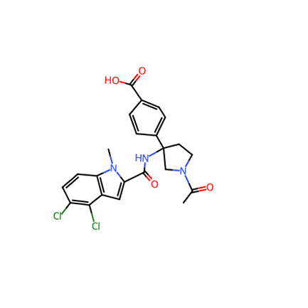 CC(=O)N1CCC(NC(=O)c2cc3c(Cl)c(Cl)ccc3n2C)(c2ccc(C(=O)O)cc2)C1